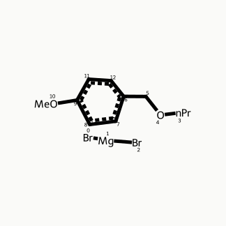 [Br][Mg][Br].[CH2]CCOCc1ccc(OC)cc1